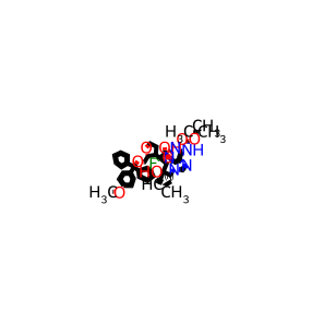 C#CC(O)(CC(F)(C(=O)O)C1CCOC1COC(c1ccccc1)(c1ccccc1)c1ccc(OC)cc1)[C@@H](CCC)n1cnc2c(NC(=O)OC(C)(C)C)ncnc21